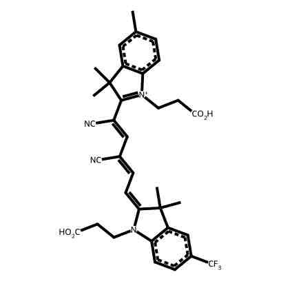 Cc1ccc2c(c1)C(C)(C)C(/C(C#N)=C/C(C#N)=C/C=C1/N(CCC(=O)O)c3ccc(C(F)(F)F)cc3C1(C)C)=[N+]2CCC(=O)O